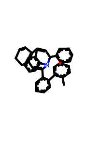 Cc1ccccc1-c1ccccc1/C1=C/C2=C(C=CCC2)C2=CC(c3ccccc3)N1c1ccccc12